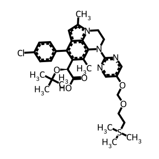 Cc1c([C@H](OC(C)(C)C)C(=O)O)c(-c2ccc(Cl)cc2)c2cc(C)n3c2c1N(c1ncc(OCOCCS(C)(C)C)cn1)CC3